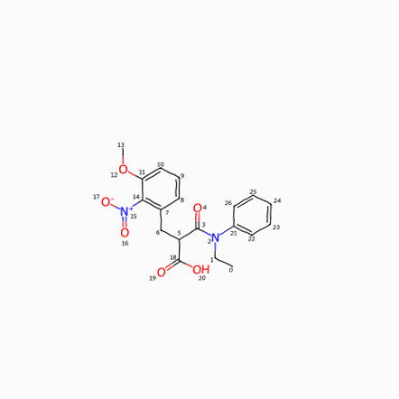 CCN(C(=O)C(Cc1cccc(OC)c1[N+](=O)[O-])C(=O)O)c1ccccc1